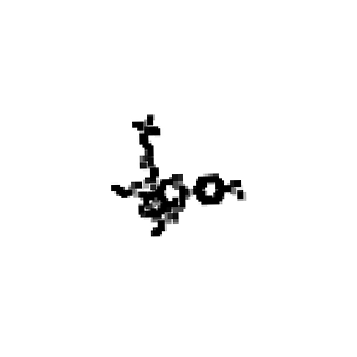 CCOC1O[C@H](CI)[C@H]2O[C@@H](c3ccc(OC)cc3)OC[C@@]12OCOCC[Si](C)(C)C